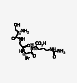 CC(C)[C@H](NC(=O)CNC(=O)[C@@H](N)CO)C(=O)N[C@@H](CCCNC(N)=O)C(=O)O